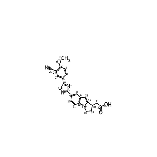 COc1ccc(-c2nc(-c3ccc4c(c3)cc3n4CCC3CC(=O)O)no2)cc1C#N